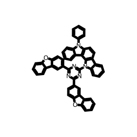 c1ccc(-n2c3ccccc3c3c2ccc2c4ccccc4n(-c4nc(-c5ccc6oc7ccccc7c6c5)nc(-c5ccc6oc7ccccc7c6c5)n4)c23)cc1